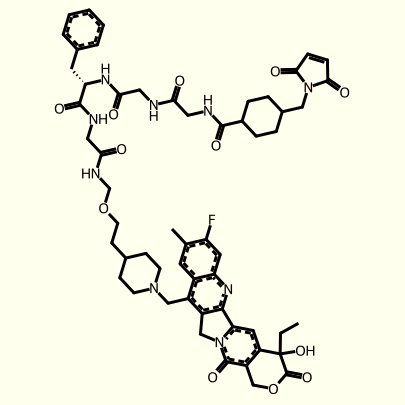 CCC1(O)C(=O)OCc2c1cc1n(c2=O)Cc2c-1nc1cc(F)c(C)cc1c2CN1CCC(CCOCNC(=O)CNC(=O)[C@H](Cc2ccccc2)NC(=O)CNC(=O)CNC(=O)C2CCC(CN3C(=O)C=CC3=O)CC2)CC1